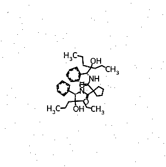 CCCC(O)(CCC)[C@H](NC(=O)C1(C(=O)N[C@H](c2ccccc2)C(O)(CCC)CCC)CCCC1)c1ccccc1